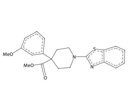 COC(=O)C1(c2cccc(OC)c2)CCN(c2nc3ccccc3s2)CC1